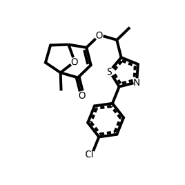 CC(OC1=CC(=O)C2(C)CCC1O2)c1cnc(-c2ccc(Cl)cc2)s1